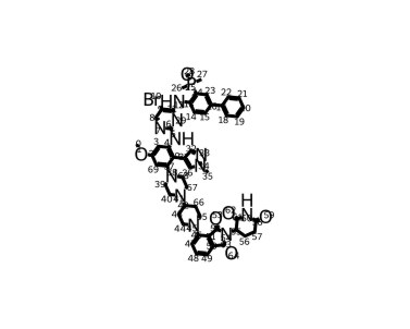 COc1cc(Nc2ncc(Br)c(Nc3ccc(-c4ccccc4)cc3P(C)(C)=O)n2)c(-c2cnn(C)c2)c(N2CCN(C3CCN(c4cccc5c4C(=O)N(C4CCC(=O)NC4=O)C5=O)CC3)CC2)c1